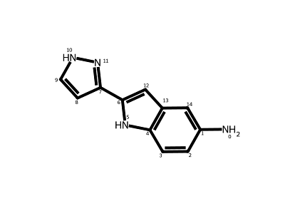 Nc1ccc2[nH]c(-c3cc[nH]n3)cc2c1